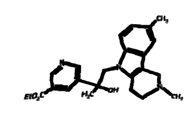 CCOC(=O)c1cncc(C(C)(O)Cn2c3c(c4cc(C)ccc42)CN(C)CC3)c1